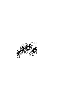 Cc1cnc(C#N)c(SC2OC(CO)C(O)C(n3cc(-c4nc(Cl)cs4)nn3)C2O)c1